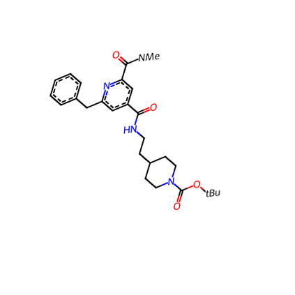 CNC(=O)c1cc(C(=O)NCCC2CCN(C(=O)OC(C)(C)C)CC2)cc(Cc2ccccc2)n1